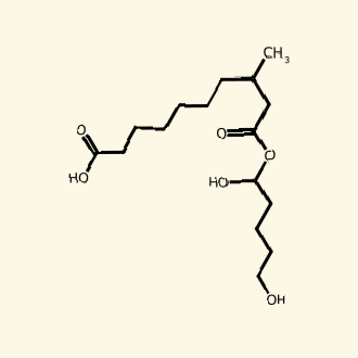 CC(CCCCCCC(=O)O)CC(=O)OC(O)CCCCO